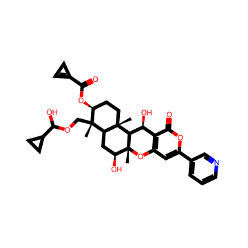 C[C@]12CC[C@H](OC(=O)C3=CC3)[C@@](C)(COC(O)C3CC3)C1C[C@H](O)[C@@]1(C)Oc3cc(-c4cccnc4)oc(=O)c3[C@H](O)C21